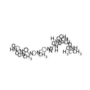 CC(C)NC(=O)O[C@@H]1CC[C@H](c2cc(NC(=O)c3cnn(C4CCC(CN(C)C5CCN(Cc6cccc7c6n(C)c(=O)n7C6CCC(=O)NC6=O)CC5)CC4)c3)nn2C(C)(C)C)C1